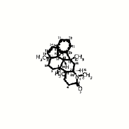 CN1C(=O)CC[C@]2(C)[C@H]3CC[C@]4(C)C=CC[C@H]4[C@@H]3[C@](C)(c3ccccc3)C[C@@H]12